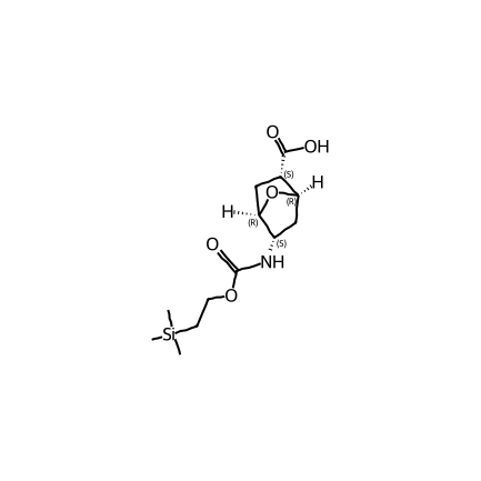 C[Si](C)(C)CCOC(=O)N[C@H]1C[C@H]2O[C@@H]1C[C@@H]2C(=O)O